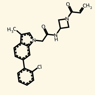 C=CC(=O)N1CC(NC(=O)Cn2cc(C)c3ccc(-c4ccccc4Cl)cc32)C1